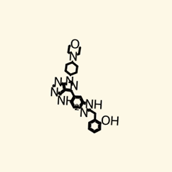 Nc1ncnc2c1c(-c1ccc3nc(Cc4ccccc4O)[nH]c3c1)nn2[C@H]1CC[C@H](N2CCOCC2)CC1